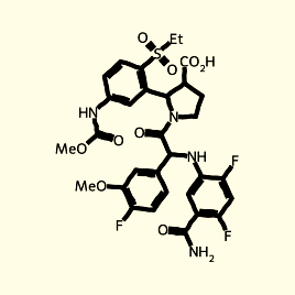 CCS(=O)(=O)c1ccc(NC(=O)OC)cc1C1C(C(=O)O)CCN1C(=O)C(Nc1cc(C(N)=O)c(F)cc1F)c1ccc(F)c(OC)c1